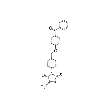 C=C1SC(=S)N(c2ccc(COc3ccc(C(=O)c4ccccc4)cc3)cc2)C1=O